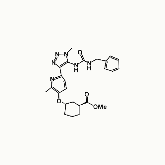 COC(=O)[C@H]1CCC[C@H](Oc2ccc(-c3nnn(C)c3NC(=O)NCc3ccccc3)nc2C)C1